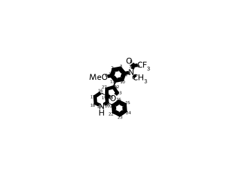 COc1ccc(N(C)C(=O)C(F)(F)F)cc1[C@H]1CO[C@]2(CCCN[C@H]2c2ccccc2)C1